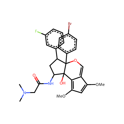 COC1=CC(OC)=C2C1=COC1(c3ccc(Br)cc3)C(c3cccc(F)c3)CC(NC(=O)CN(C)C)C21O